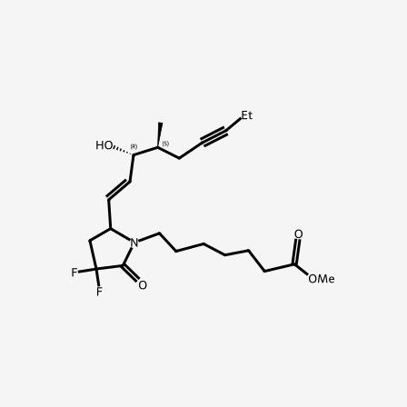 CCC#CC[C@H](C)[C@@H](O)C=CC1CC(F)(F)C(=O)N1CCCCCCC(=O)OC